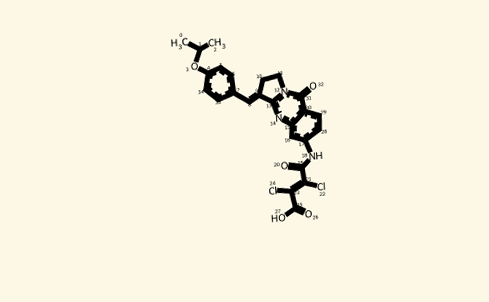 CC(C)Oc1ccc(C=C2CCn3c2nc2cc(NC(=O)C(Cl)=C(Cl)C(=O)O)ccc2c3=O)cc1